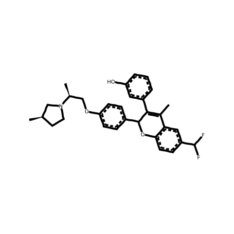 CC1=C(c2cccc(O)c2)C(c2ccc(OC[C@H](C)N3CC[C@@H](C)C3)cc2)Oc2ccc(C(F)F)cc21